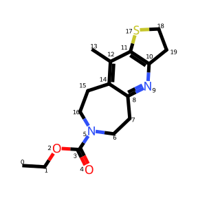 CCOC(=O)N1CCc2nc3c(c(C)c2CC1)SCC3